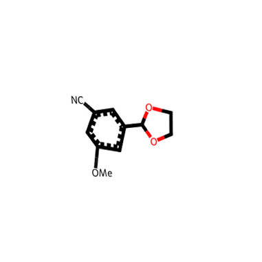 COc1cc(C#N)cc(C2OCCO2)c1